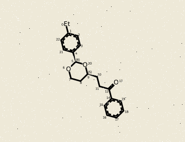 CCc1ccc([C@@H]2OCC[C@H](CCC(=O)c3ccccc3)O2)cc1